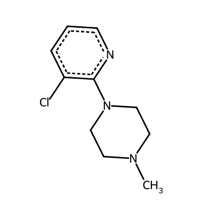 CN1CCN(c2ncccc2Cl)CC1